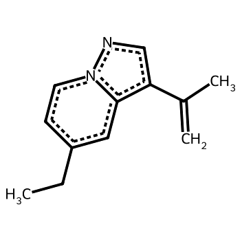 C=C(C)c1cnn2ccc(CC)cc12